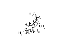 CCN1CC(=O)N(CC(CC)(CC)COCC(CC)(CC)CN2C(=O)CN(CC)C2=O)C1=O